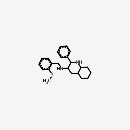 CSc1ccccc1CNC1CC2CCCCC2NC1c1ccccc1